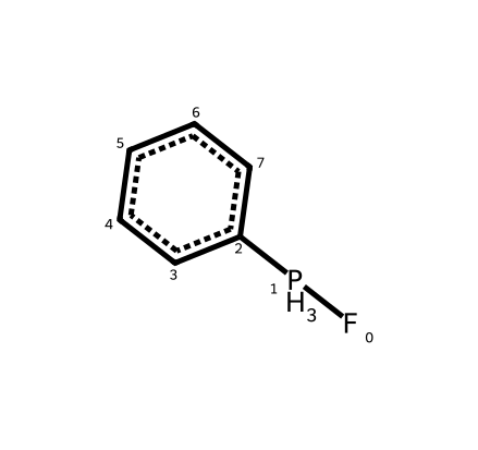 F[PH3]c1ccccc1